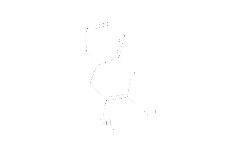 NC1=C([SiH3])Oc2ccccc2C1